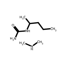 CCCC(C)NC(N)=O.CNC